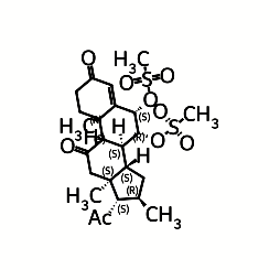 CC(=O)[C@H]1[C@H](C)C[C@H]2[C@@H]3[C@@H](OS(C)(=O)=O)[C@@H](OS(C)(=O)=O)C4=CC(=O)CC[C@]4(C)[C@H]3C(=O)C[C@@]21C